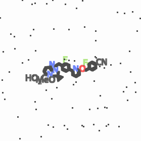 COCC1(Cn2c(Cc3ccc(-c4cccc(OCc5ccc(C#N)cc5F)n4)cc3F)nc3ccc(C(=O)O)nc32)CC1